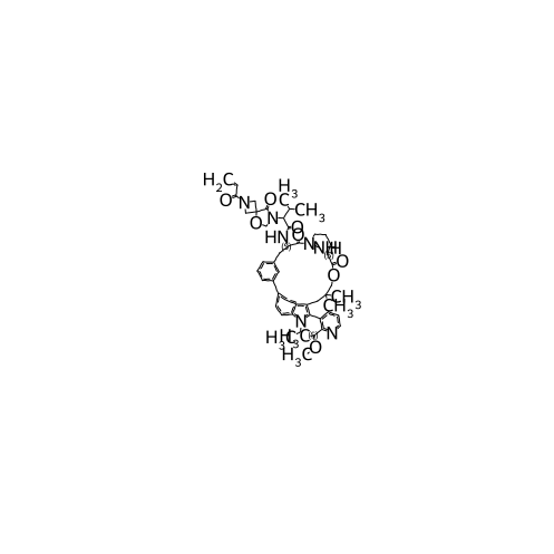 C=CC(=O)N1CC2(C1)OCN(C(C(=O)N[C@H]1Cc3cccc(c3)-c3ccc4c(c3)c(c(-c3cccnc3[C@H](C)OC)n4CC)CC(C)(C)COC(=O)[C@@H]3CCCN(N3)C1=O)C(C)C)C2=O